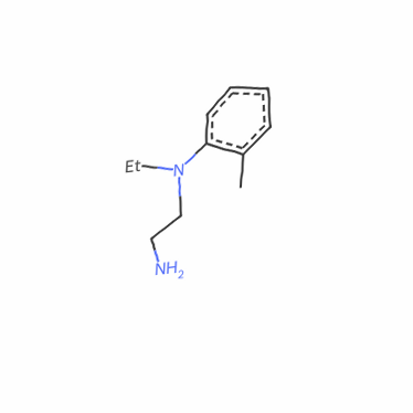 CCN(CCN)c1ccccc1C